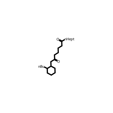 CCCCCCCC(=O)CCCCC(=O)CC1CCCCC1CCCC